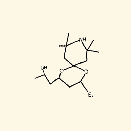 CCC1CC(CC(C)O)OC2(CC(C)(C)NC(C)(C)C2)O1